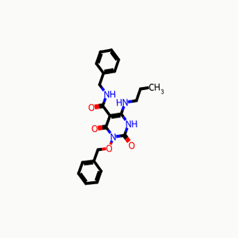 CCCNc1[nH]c(=O)n(OCc2ccccc2)c(=O)c1C(=O)NCc1ccccc1